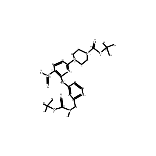 CN(Cc1cc(Nc2nc(N3CCN(C(=O)OC(C)(C)C)CC3)ccc2[N+](=O)[O-])ccn1)C(=O)OC(C)(C)C